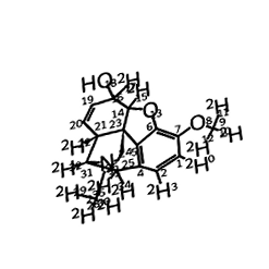 [2H]c1c([2H])c2c3c(c1OC([2H])([2H])[2H])OC1([2H])C([2H])(O)C=C[C@]4([2H])[C@@]31CCN(C([2H])([2H])[2H])[C@]4([2H])C2([2H])[2H]